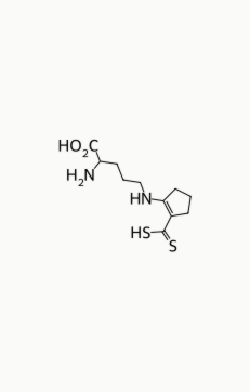 NC(CCCNC1=C(C(=S)S)CCC1)C(=O)O